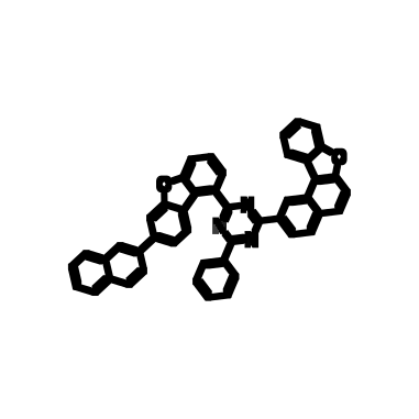 c1ccc(-c2nc(-c3ccc4ccc5oc6ccccc6c5c4c3)nc(-c3cccc4oc5cc(-c6ccc7ccccc7c6)ccc5c34)n2)cc1